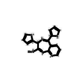 CNC1=Nc2ncccc2C(c2cccs2)=NC1c1cccs1